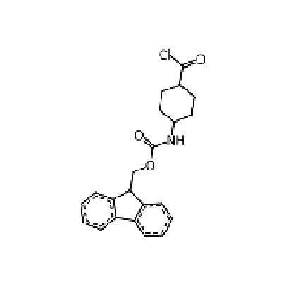 O=C(NC1CCC(C(=O)Cl)CC1)OCC1c2ccccc2-c2ccccc21